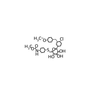 CCOc1ccc(Cc2cc([C@@H]3O[C@H](CSc4ccc(NC(=O)OC)cc4)[C@@H](O)[C@H](O)[C@H]3O)ccc2Cl)cc1